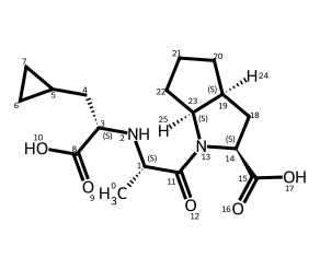 C[C@H](N[C@@H](CC1CC1)C(=O)O)C(=O)N1[C@H](C(=O)O)C[C@@H]2CCC[C@@H]21